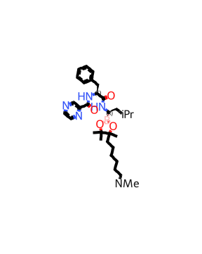 CNCCCCCCC1(C)OB([C@H](CC(C)C)NC(=O)[C@H](Cc2ccccc2)NC(=O)c2cnccn2)OC1(C)C